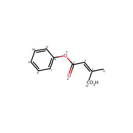 C/C(=C/C(=O)Oc1ccccc1)C(=O)O